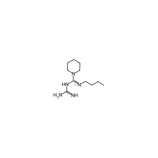 CCCC/N=C(/NC(=N)N)N1CCCCC1